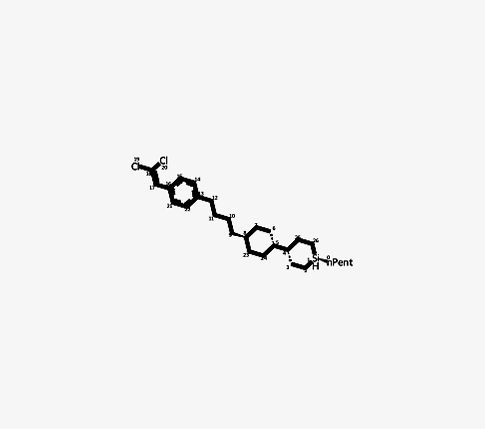 CCCCC[Si@H]1CC[C@H]([C@H]2CC[C@H](CCCCc3ccc(C=C(Cl)Cl)cc3)CC2)CC1